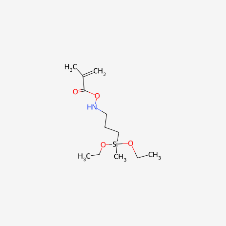 C=C(C)C(=O)ONCCC[Si](C)(OCC)OCC